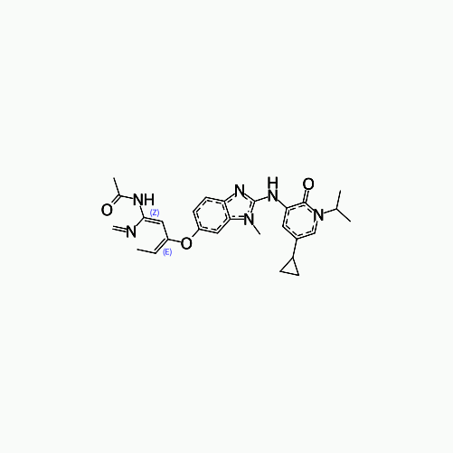 C=N/C(=C\C(=C/C)Oc1ccc2nc(Nc3cc(C4CC4)cn(C(C)C)c3=O)n(C)c2c1)NC(C)=O